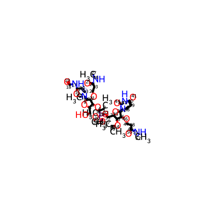 CCC(C)(OC1C(CO)OC(N(C)/C=C\C(=O)NC=O)C1OCCC(=O)NC)P(=O)(OC)OCC1OC(n2ccc(=O)[nH]c2=O)C(OCCC(=O)NC)C1OC(C)C